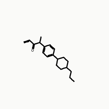 C=CC(=O)C(C)c1ccc(C2CCC(CCC)CC2)cc1